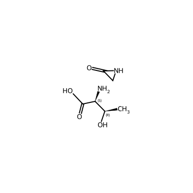 C[C@@H](O)[C@H](N)C(=O)O.O=C1CN1